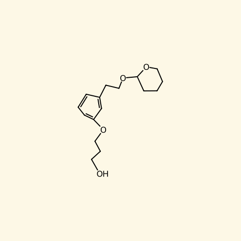 OCCCOc1cccc(CCOC2CCCCO2)c1